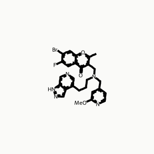 COc1cc(CN(CCCc2cncc3[nH]ncc23)Cc2c(C)oc3cc(Br)c(F)cc3c2=O)ccn1